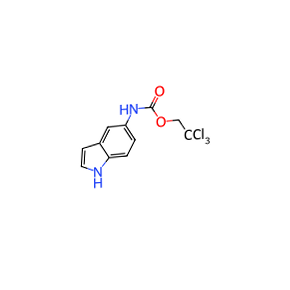 O=C(Nc1ccc2[nH]ccc2c1)OCC(Cl)(Cl)Cl